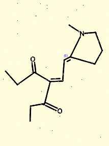 CCC(=O)C(=C/C=C1\CCCN1C)C(=O)CC